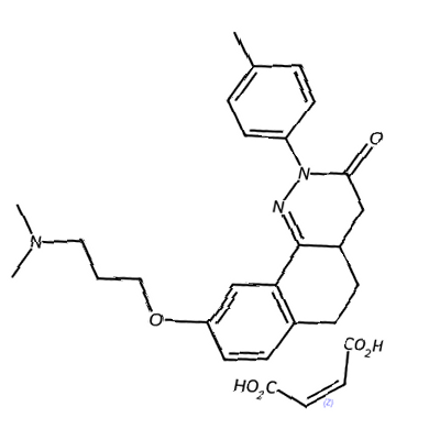 Cc1ccc(N2N=C3c4cc(OCCCN(C)C)ccc4CCC3CC2=O)cc1.O=C(O)/C=C\C(=O)O